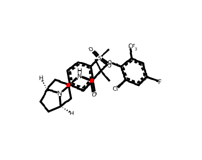 CC(C)(Oc1c(Cl)cc(F)cc1C(F)(F)F)C(=O)N[C@H]1C[C@H]2CC[C@@H](C1)N2c1ccc(S(C)(=O)=O)cc1